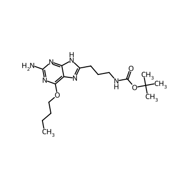 CCCCOc1nc(N)nc2[nH]c(CCCNC(=O)OC(C)(C)C)nc12